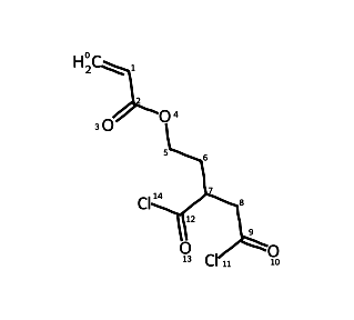 C=CC(=O)OCCC(CC(=O)Cl)C(=O)Cl